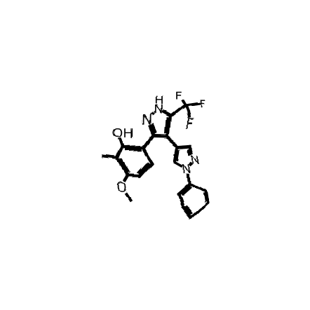 COc1ccc(-c2n[nH]c(C(F)(F)F)c2-c2cnn(-c3ccccc3)c2)c(O)c1C